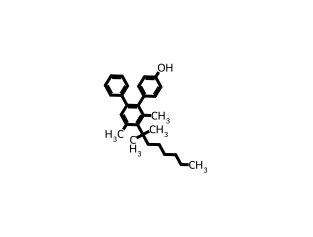 CCCCCCC(C)(C)c1c(C)cc(-c2ccccc2)c(-c2ccc(O)cc2)c1C